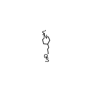 CSOCCCC1CCN(SC)CC1